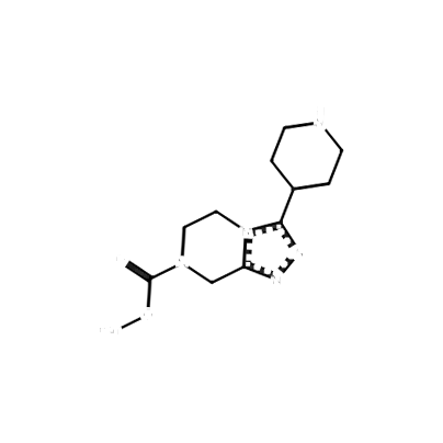 CC(C)(C)OC(=O)N1CCn2c(nnc2C2CCNCC2)C1